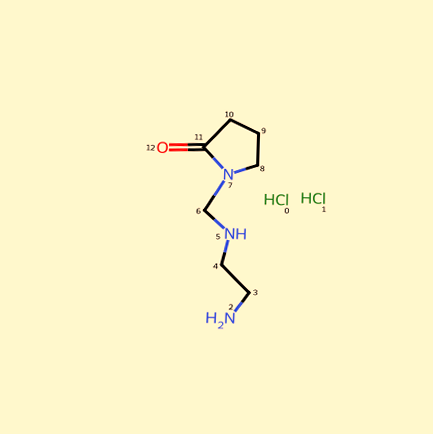 Cl.Cl.NCCNCN1CCCC1=O